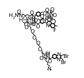 COC1C(=O)OCc2c1cc1n(c2=O)Cc2c-1nc1cc(F)c(C)c3c1c2[C@H](NC(=O)C1(NC(=O)OCc2ccc(NC(=O)C(CCCNC(N)=O)NC(=O)[C@@H](NC(=O)CCOCCOCCOCCOCCNC(=O)[C@H](CCCCN(C)C)NC(=O)c4ccc5nc(CBr)c(CBr)nc5c4)C(C)C)cc2)COC1)CC3